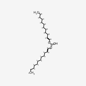 CCCCCCCCCCC=COP(O)OC=CCCCCCCCCCC